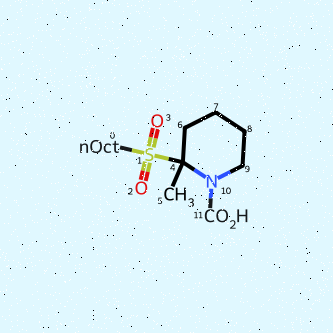 CCCCCCCCS(=O)(=O)C1(C)CCCCN1C(=O)O